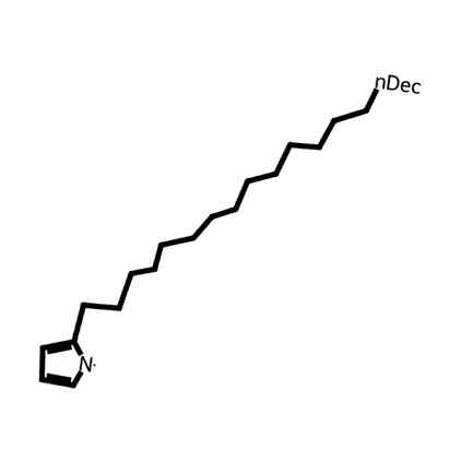 CCCCCCCCCCCCCCCCCCCCCCCCC1=CC=C[N]1